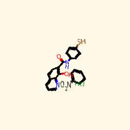 Cl.O=C(Nc1ccc(S)cc1)c1ccc2cccnc2c1O.O=[N+]([O-])c1ccccc1